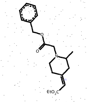 CCOC(=O)/C=C1\CCN(CC(=O)OCc2ccccc2)C(C)C1